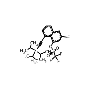 CC(C)[Si](C#Cc1cccc2cc(F)cc(OS(=O)(=O)C(F)(F)F)c12)(C(C)C)C(C)C